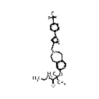 CCOC(=O)C(C)(C)Oc1ccc2c(c1)CCN(Cc1cc(-c3ccc(C(F)(F)F)cc3)ns1)CC2